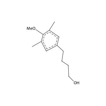 COc1c(C)cc(CCCCO)cc1C